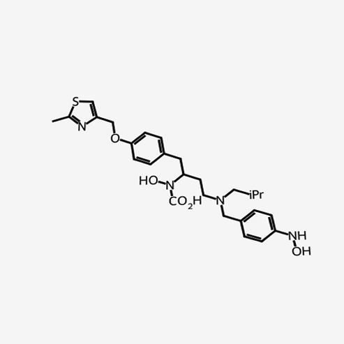 Cc1nc(COc2ccc(CC(CCN(Cc3ccc(NO)cc3)CC(C)C)N(O)C(=O)O)cc2)cs1